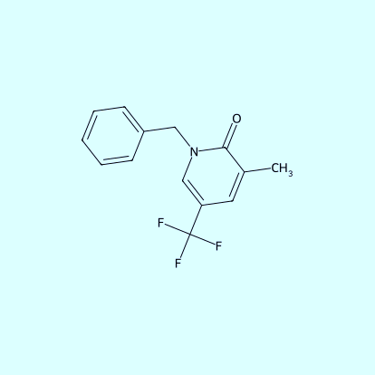 Cc1cc(C(F)(F)F)cn(Cc2ccccc2)c1=O